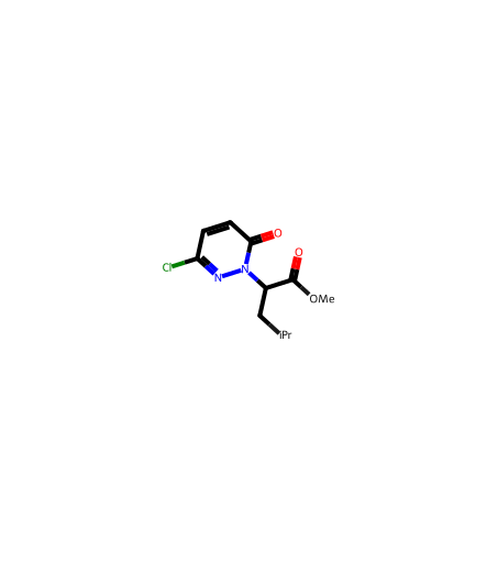 COC(=O)C(CC(C)C)n1nc(Cl)ccc1=O